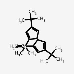 CC(C)(C)C1=CC[C]([Zr]([CH3])([CH3])(=[SiH2])[C]2=CC(C(C)(C)C)=CC2)=C1